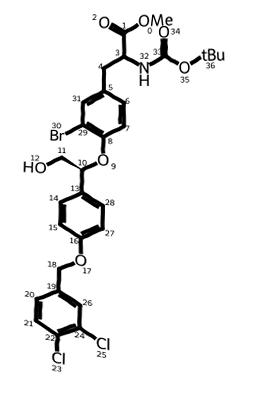 COC(=O)C(Cc1ccc(O[C@H](CO)c2ccc(OCc3ccc(Cl)c(Cl)c3)cc2)c(Br)c1)NC(=O)OC(C)(C)C